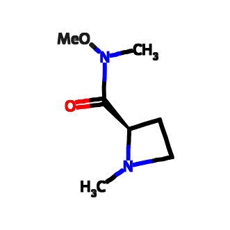 CON(C)C(=O)[C@H]1CCN1C